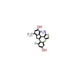 Nc1sccc1C1=C(c2c(F)cc(O)cc2F)Cc2c1cc(O)cc2C(F)(F)F